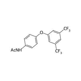 CC(=O)Nc1ccc(Oc2cc(C(F)(F)F)cc(C(F)(F)F)c2)cc1